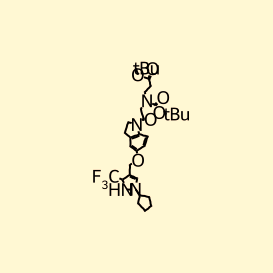 CC(C)(C)OC(=O)CCN(CC(=O)N1CCc2cc(OCC3=CN(C4CCCC4)NC3C(F)(F)F)ccc21)C(=O)OC(C)(C)C